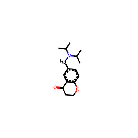 CC(C)N(Bc1ccc2c(c1)C(=O)CCO2)C(C)C